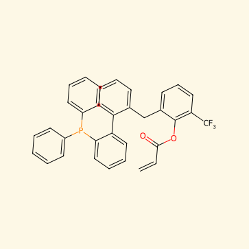 C=CC(=O)Oc1c(Cc2ccccc2-c2ccccc2P(c2ccccc2)c2ccccc2)cccc1C(F)(F)F